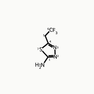 Nc1nnc(CC(F)(F)F)s1